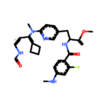 C=C(OC)C(Cc1ccc(N(C)C(/C=C\NC=O)=C2CCC2)nc1)NC(=O)c1ccc(NC)cc1F